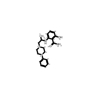 CC(CN1CCN(c2ccccc2)CC1)Nc1cccc(O)c1C(N)=O